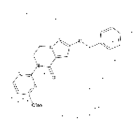 COc1ccnc(N2CCn3nc(OCc4ccccc4)cc3C2=O)n1